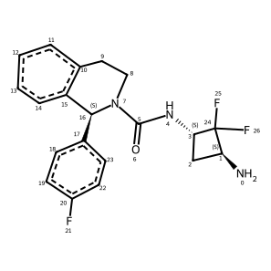 N[C@H]1C[C@H](NC(=O)N2CCc3ccccc3[C@@H]2c2ccc(F)cc2)C1(F)F